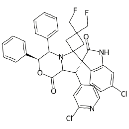 O=C1O[C@@H](c2ccccc2)C(c2ccccc2)N2C1C(c1ccnc(Cl)c1)[C@@]1(C(=O)Nc3cc(Cl)ccc31)C21CC(CF)(CF)C1